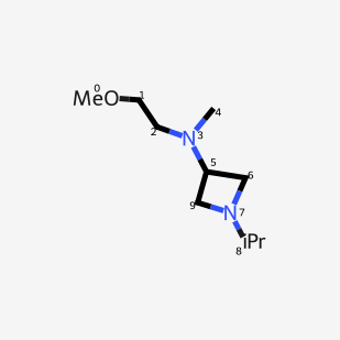 COCCN(C)C1CN(C(C)C)C1